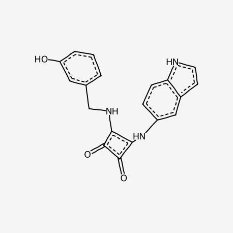 O=c1c(NCc2cccc(O)c2)c(Nc2ccc3[nH]ccc3c2)c1=O